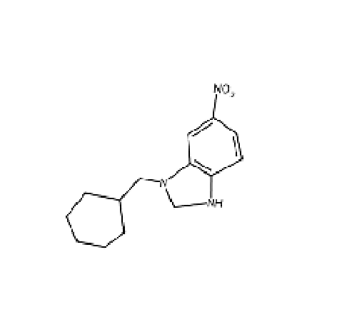 O=[N+]([O-])c1ccc2c(c1)N(CC1CCCCC1)CN2